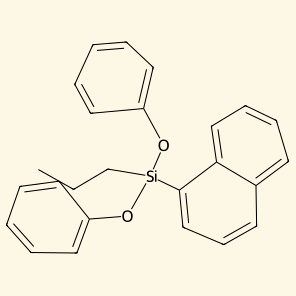 CCC[Si](Oc1ccccc1)(Oc1ccccc1)c1cccc2ccccc12